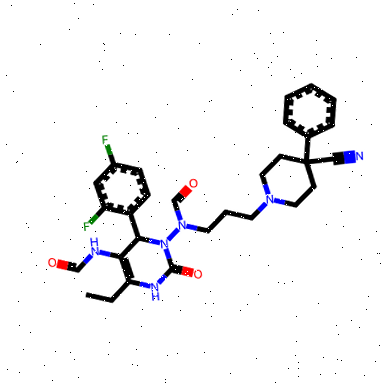 CCC1=C(NC=O)C(c2ccc(F)cc2F)N(N(C=O)CCCN2CCC(C#N)(c3ccccc3)CC2)C(=O)N1